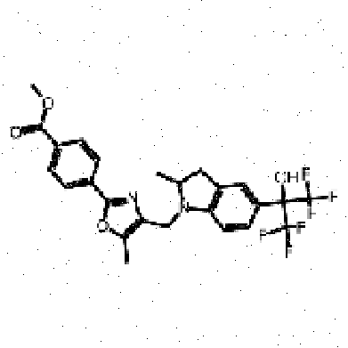 COC(=O)c1ccc(-c2nc(CN3c4ccc(C(O)(C(F)(F)F)C(F)(F)F)cc4CC3C)c(C)o2)cc1